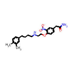 Cc1ccc(CCCCNCCOc2ccc(CC(N)=O)cc2[N+](=O)[O-])cc1C